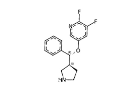 Fc1cc(O[C@@H](c2ccccc2)[C@H]2CCNC2)cnc1F